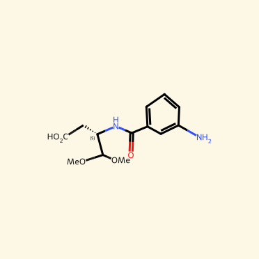 COC(OC)[C@H](CC(=O)O)NC(=O)c1cccc(N)c1